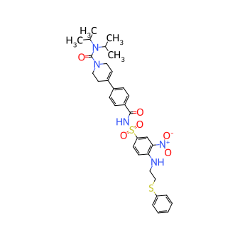 CC(C)N(C(=O)N1CC=C(c2ccc(C(=O)NS(=O)(=O)c3ccc(NCCSc4ccccc4)c([N+](=O)[O-])c3)cc2)CC1)C(C)C